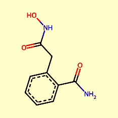 NC(=O)c1ccccc1CC(=O)NO